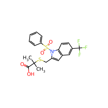 CC(C)(SCc1cc2cc(C(F)(F)F)ccc2n1S(=O)(=O)c1ccccc1)C(=O)O